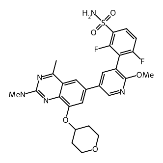 CNc1nc(C)c2cc(-c3cnc(OC)c(-c4c(F)ccc(S(N)(=O)=O)c4F)c3)cc(OC3CCOCC3)c2n1